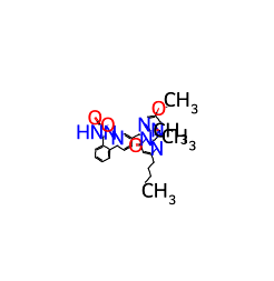 CCCCCC1=CC(=O)[N+](Cc2ccc(-c3ccccc3-c3noc(=O)[nH]3)nc2)(c2ncc(OCC)cn2)C(C(C)C)=N1